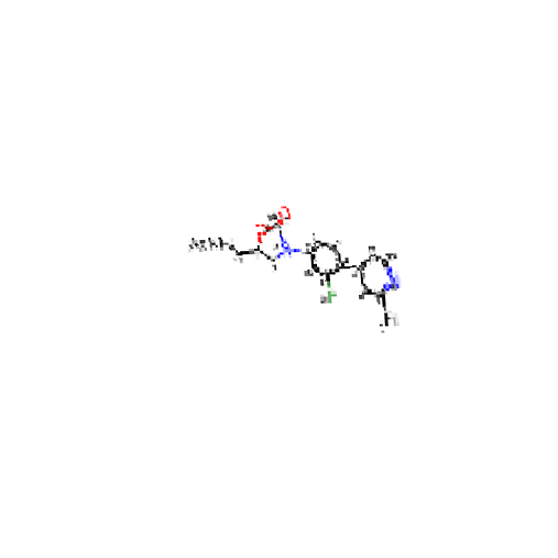 CCc1cc(-c2ccc(N3CC(CNC(C)=O)OC3=O)cc2F)ccn1